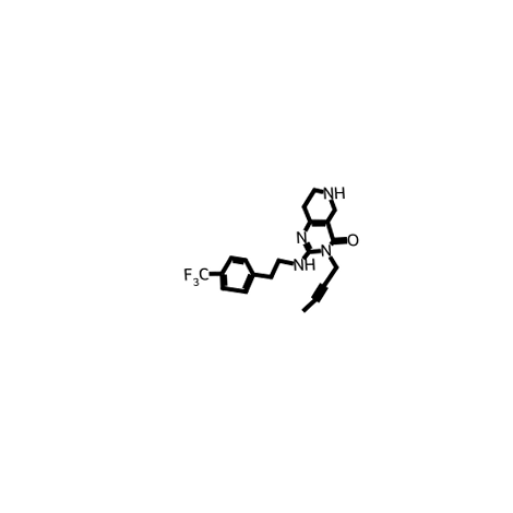 CC#CCn1c(NCCc2ccc(C(F)(F)F)cc2)nc2c(c1=O)CNCC2